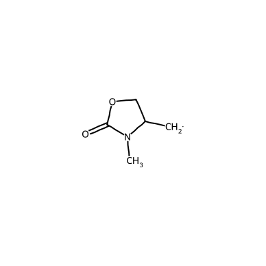 [CH2]C1COC(=O)N1C